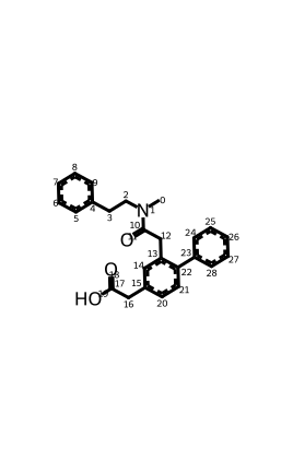 CN(CCc1ccccc1)C(=O)Cc1cc(CC(=O)O)ccc1-c1ccccc1